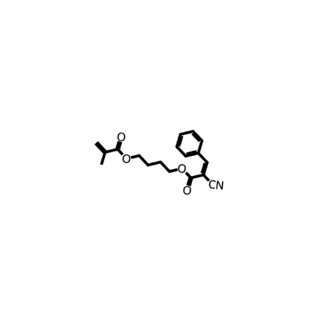 C=C(C)C(=O)OCCCCOC(=O)C(C#N)=Cc1ccccc1